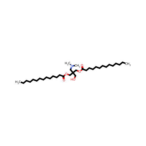 CCCCCCCCCCCCCC(=O)OCC(CO)(COC(=O)CCCCCCCCCCCCC)CN(C)C